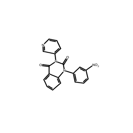 O=c1c2ccccc2n(-c2cccc([N+](=O)[O-])c2)c(=O)n1-c1cccnc1